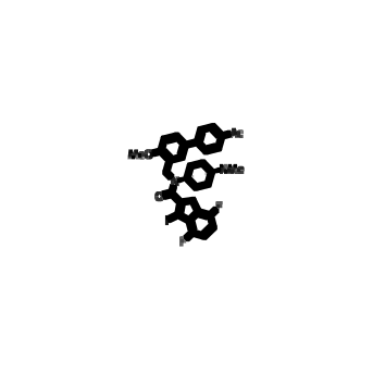 CN[C@H]1CC[C@@H](N(Cc2cc(-c3ccc(C(C)=O)cc3)ccc2OC)C(=O)C2=C(I)c3c(F)ccc(F)c3C2)CC1